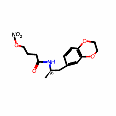 C[C@H](Cc1ccc2c(c1)OCCO2)NC(=O)CCCO[N+](=O)[O-]